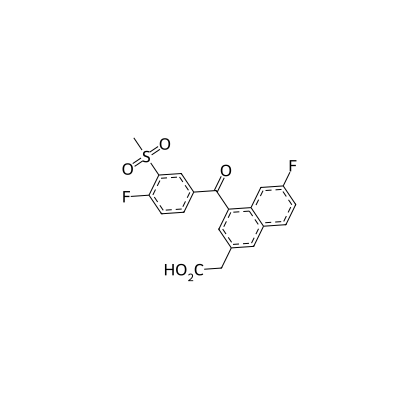 CS(=O)(=O)c1cc(C(=O)c2cc(CC(=O)O)cc3ccc(F)cc23)ccc1F